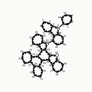 c1ccc(-n2c3ccccc3c3c(-n4c5ccccc5c5c6c7ccccc7c7ccccc7c6c6c7ccccc7oc6c54)cccc32)cc1